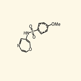 COc1ccc(S(=O)(=O)NC2=COC=CN=C2)cc1